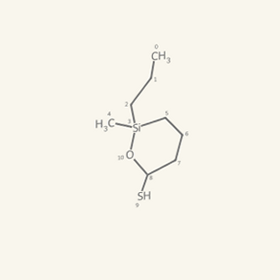 CCC[Si]1(C)CCCC(S)O1